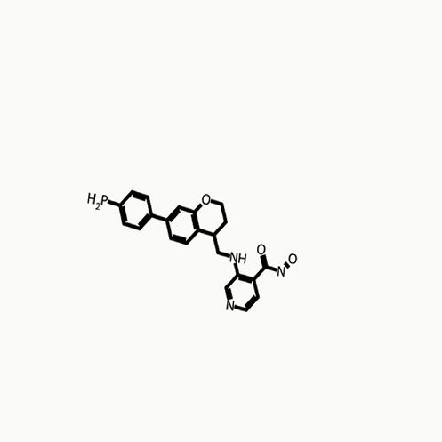 O=NC(=O)c1ccncc1NCC1CCOc2cc(-c3ccc(P)cc3)ccc21